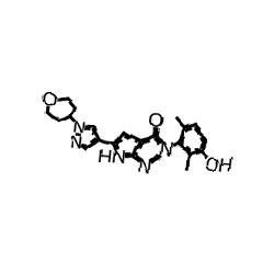 Cc1ccc(O)c(C)c1-n1cnc2[nH]c(-c3cnn(C4CCOCC4)c3)cc2c1=O